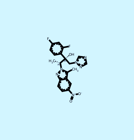 Cc1c2cc([N+](=O)[O-])ccc2nn1[C@H](C)[C@](O)(Cn1cncn1)c1ccc(F)cc1F